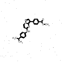 COC(=O)c1ccc(-c2cnn3ccc(Nc4ccc(C(C)C)cc4)nc23)cc1